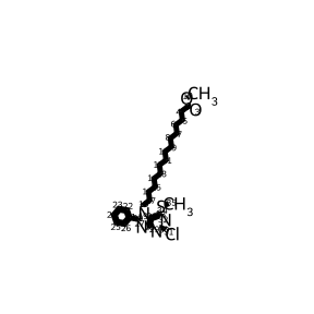 COC(=O)CCCCCCCCCCCCCCCn1c(-c2ccccc2)nc2nc(Cl)nc(SC)c21